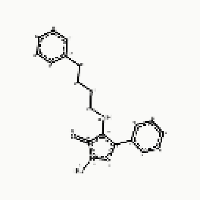 CC(C)(C)n1sc(-c2ccccc2)c(NCCCCc2ccccc2)c1=O